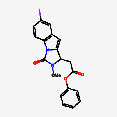 CON1C(=O)n2c(cc3cc(I)ccc32)C1CC(=O)Oc1ccccc1